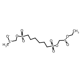 CCOS(=O)COS(=O)(=O)CCCCCCS(=O)(=O)OC[S+](C)[O-]